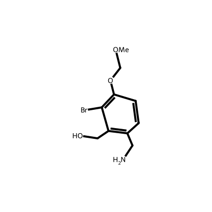 COCOc1ccc(CN)c(CO)c1Br